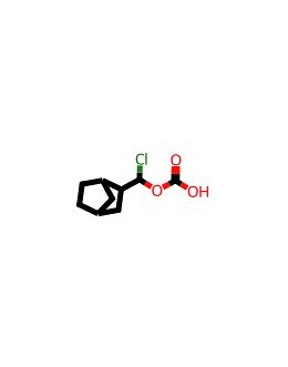 O=C(O)OC(Cl)C1CC2CCC1C2